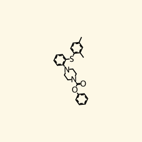 Cc1ccc(Sc2ccccc2N2CCN(C(=O)Oc3ccccc3)CC2)c(C)c1